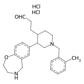 Cc1ccccc1CN1CCC(CCC=O)C(c2ccc3c(c2)CNCCO3)C1.Cl.Cl